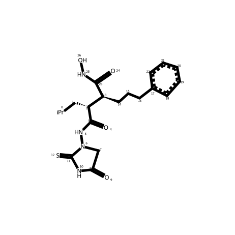 CC(C)C[C@@H](C(=O)NN1CC(=O)NC1=S)[C@H](CCCc1ccccc1)C(=O)NO